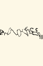 CCCOc1ccc(CCC2CCC(C3CCC(/C=C/C4CCC(CCC)CC4)CC3)CC2)c(C(F)(F)F)c1F